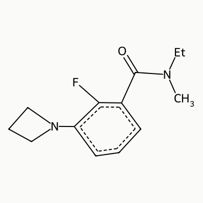 CCN(C)C(=O)c1cccc(N2CCC2)c1F